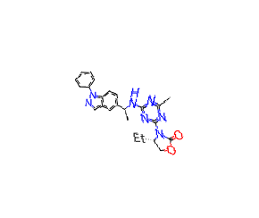 CC[C@H]1COC(=O)N1c1nc(C)nc(N[C@@H](C)c2ccc3c(cnn3-c3ccccc3)c2)n1